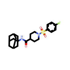 O=C(NC12CC3CC(CC(C3)C1)C2)C1CCN(S(=O)(=O)c2ccc(F)cc2)CC1